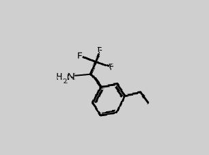 CCc1cccc(C(N)C(F)(F)F)c1